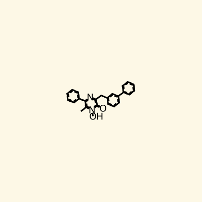 Cc1c(-c2ccccc2)nc(Cc2cccc(-c3ccccc3)c2)c(=O)n1O